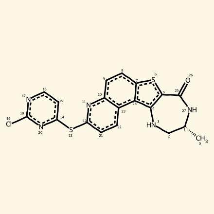 C[C@@H]1CNc2c(sc3ccc4nc(Sc5ccnc(Cl)n5)ccc4c23)C(=O)N1